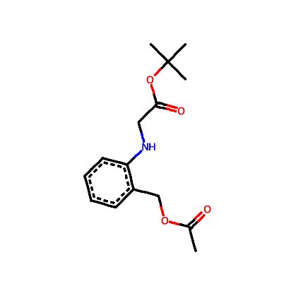 CC(=O)OCc1ccccc1NCC(=O)OC(C)(C)C